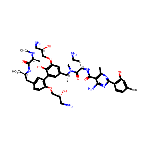 Cc1nc(-c2ccc(C(C)(C)C)cc2O)nc(N)c1C(=O)N[C@@H](CCN)C(=O)N(C)[C@H](C)c1cc(OC[C@H](O)CN)c(O)c(-c2cc(C[C@H](NC(=O)[C@H](C)NC=O)C(=O)O)ccc2OC[C@H](O)CN)c1